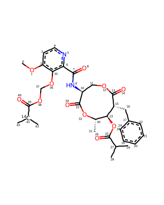 COc1ccnc(C(=O)N[C@H]2COC(=O)[C@H](Cc3ccccc3)[C@@H](OC(=O)C(C)C)[C@H](C)OC2=O)c1OCOC(=O)[14CH](C)C